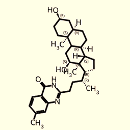 Cc1ccc2c(=O)[nH]c(CC[C@@H](C)[C@H]3CC[C@H]4[C@@H]5CC[C@@H]6C[C@H](O)CC[C@]6(C)C5C[C@H](O)[C@]34C)nc2c1